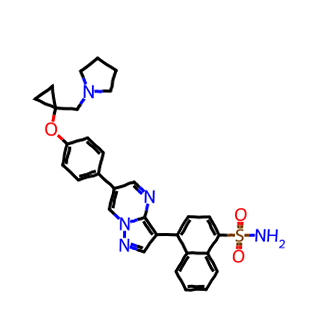 NS(=O)(=O)c1ccc(-c2cnn3cc(-c4ccc(OC5(CN6CCCC6)CC5)cc4)cnc23)c2ccccc12